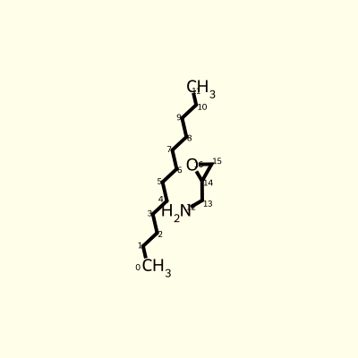 CCCCCCCCCCCC.NCC1CO1